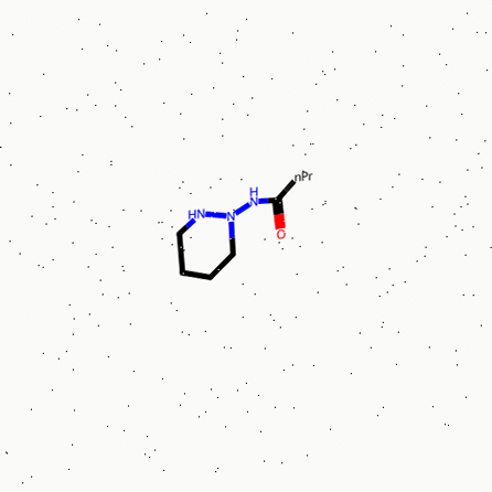 CCCC(=O)NN1CCCCN1